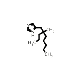 CCCCCC(C)(CCC)Cc1cnc[nH]1